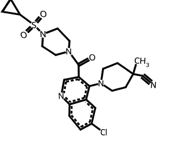 CC1(C#N)CCN(c2c(C(=O)N3CCN(S(=O)(=O)C4CC4)CC3)cnc3ccc(Cl)cc23)CC1